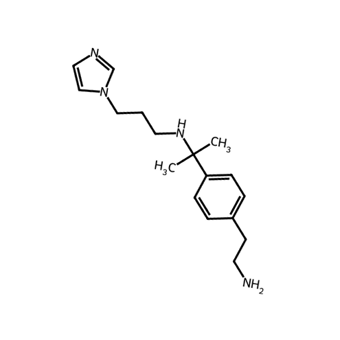 CC(C)(NCCCn1ccnc1)c1ccc(CCN)cc1